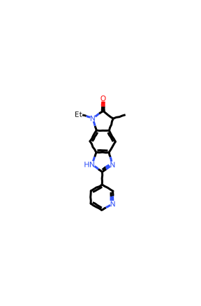 CCN1C(=O)C(C)c2cc3nc(-c4cccnc4)[nH]c3cc21